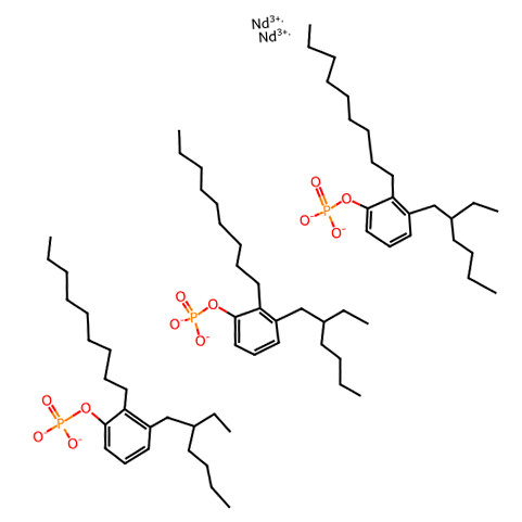 CCCCCCCCCc1c(CC(CC)CCCC)cccc1OP(=O)([O-])[O-].CCCCCCCCCc1c(CC(CC)CCCC)cccc1OP(=O)([O-])[O-].CCCCCCCCCc1c(CC(CC)CCCC)cccc1OP(=O)([O-])[O-].[Nd+3].[Nd+3]